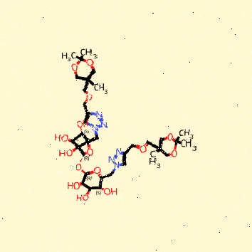 CC1(COCc2cn(CC3O[C@H](O[C@H]4OC5(Cn6cc(COCC7(C)COC(C)(C)OC7)nn6)[C@@H](O)C(O)C45O)C(O)C(O)[C@@H]3O)nn2)COC(C)(C)OC1